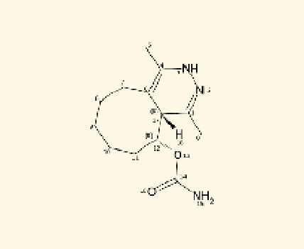 CC1=NNC(C)=C2CCCCC[C@@H](OC(N)=O)[C@@H]12